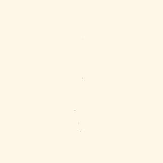 CC(C)(CNCCS(=O)(=O)CC(F)(F)F)OC=O